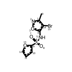 Cc1noc(NS(=O)(=O)c2ccco2)c1Br